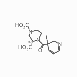 O=C(O)[C@@H]1CN(C(=O)O)CCN1C(=O)C1(I)C=CC=NC1